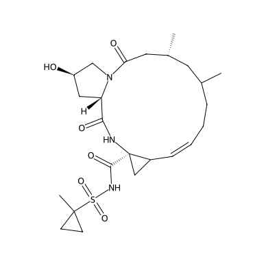 CC1CC/C=C\C2C[C@@]2(C(=O)NS(=O)(=O)C2(C)CC2)NC(=O)[C@@H]2C[C@@H](O)CN2C(=O)C[C@H](C)C1